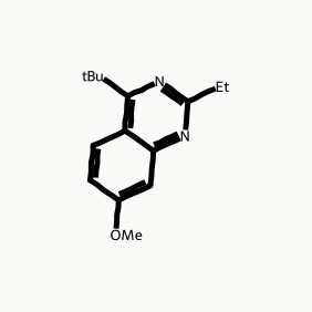 CCc1nc(C(C)(C)C)c2ccc(OC)cc2n1